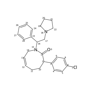 O=C1C(c2ccc(Cl)cc2)CC/C=C\CN1C(CN1CCCC1)c1ccccc1